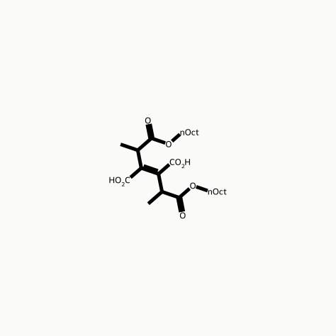 CCCCCCCCOC(=O)C(C)C(C(=O)O)=C(C(=O)O)C(C)C(=O)OCCCCCCCC